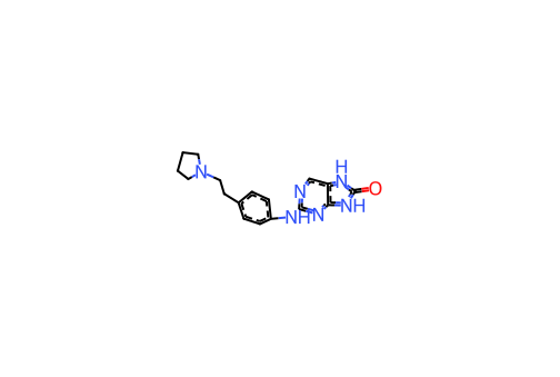 O=c1[nH]c2cnc(Nc3ccc(CCN4CCCC4)cc3)nc2[nH]1